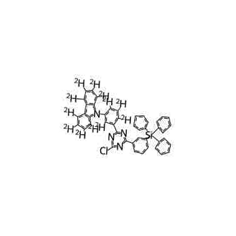 [2H]c1c([2H])c(-c2nc(Cl)nc(-c3cccc([Si](c4ccccc4)(c4ccccc4)c4ccccc4)c3)n2)c([2H])c(-n2c3c([2H])c([2H])c([2H])c([2H])c3c3c([2H])c([2H])c([2H])c([2H])c32)c1[2H]